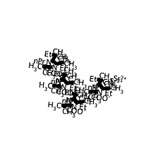 CCCC(C)(C)C1(C(=O)[O-])N=C(C(C)(C)CC)C(C(C)(C)CC)=N1.CCCC(C)(C)C1(C(=O)[O-])N=C(C(C)(C)CC)C(C(C)(C)CC)=N1.CCCC(C)(C)C1(C(=O)[O-])N=C(C(C)(C)CC)C(C(C)(C)CC)=N1.CCCC(C)(C)C1(C(=O)[O-])N=C(C(C)(C)CC)C(C(C)(C)CC)=N1.[Sr+2].[Sr+2]